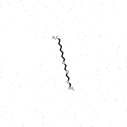 CCCCCCCCOCCOCCOCC